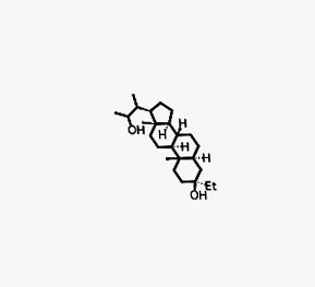 CC[C@]1(O)CC[C@@]2(C)[C@@H](CC[C@@H]3[C@@H]2CC[C@]2(C)[C@@H](C(C)C(C)O)CC[C@@H]32)C1